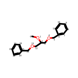 COC(COCc1ccccc1)COCc1ccccc1